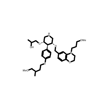 COCCCN1CCOc2ccc(CO[C@H]3CNC[C@@H](OCC(C)O)[C@@H]3c3ccc(SCCC(C)COC)cc3)cc21